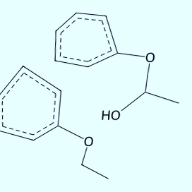 CC(O)Oc1ccccc1.CCOc1ccccc1